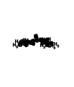 COC(=O)NC(C(=O)N1CCCC1c1ncc(-c2ccc(-c3ccc(-c4ccc5nc(C6CCCN6C(=O)C(NC(=O)OC)C(C)C)[nH]c(=O)c5c4)c4c3CC3(CCCC3)C4)c3c2CCC3)[nH]1)C(C)C